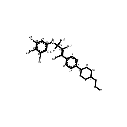 CCCC1CCC(c2ccc(/C(F)=C(\F)C(F)(F)Oc3cc(F)c(F)c(F)c3)cc2)CC1